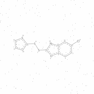 Clc1ccc2oc(SSc3cccs3)nc2c1